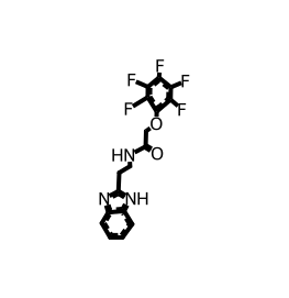 O=C(COc1c(F)c(F)c(F)c(F)c1F)NCCc1nc2ccccc2[nH]1